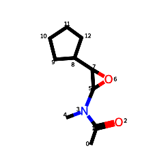 CC(=O)N(C)C1OC1C1CCCC1